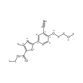 CCOC(=O)c1sc(-c2ccc(OCCOC)c(C#N)c2)nc1C